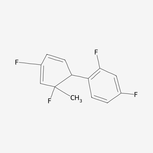 CC1(F)C=C(F)C=CC1c1ccc(F)cc1F